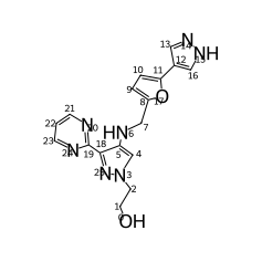 OCCn1cc(NCc2ccc(-c3cn[nH]c3)o2)c(-c2ncccn2)n1